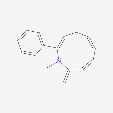 C=C1/C=C\C=C/C/C=C(/c2ccccc2)N1C